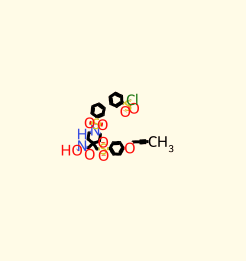 CC#CCOc1ccc(S(=O)(=O)CC2(C(=O)NO)CCN(S(=O)(=O)c3ccccc3)CC2)cc1.O=S(=O)(Cl)c1ccccc1